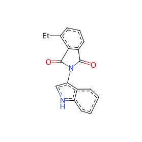 CCc1cccc2c1C(=O)N(c1c[nH]c3ccccc13)C2=O